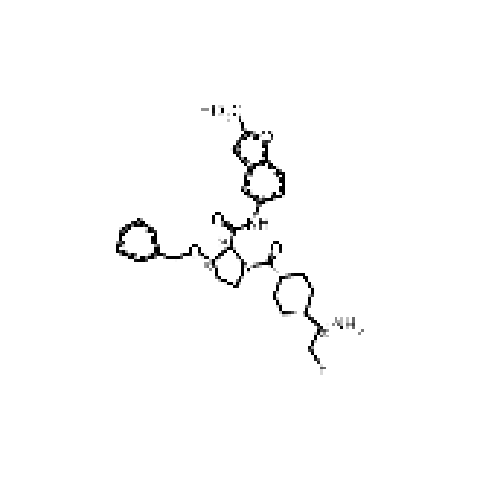 N[C@H](CF)[C@H]1CC[C@H](C(=O)N2CC[C@@H](OCc3ccccc3)[C@H]2C(=O)Nc2ccc3oc(C(=O)O)cc3c2)CC1